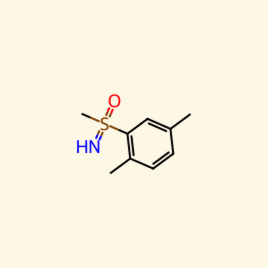 Cc1ccc(C)c(S(C)(=N)=O)c1